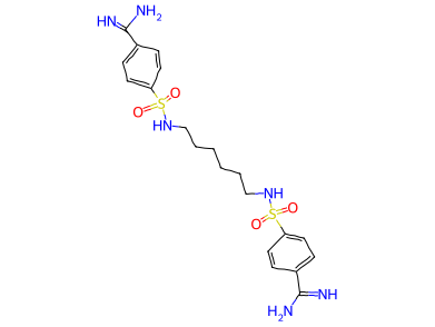 N=C(N)c1ccc(S(=O)(=O)NCCCCCCNS(=O)(=O)c2ccc(C(=N)N)cc2)cc1